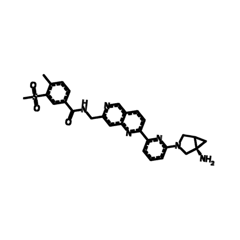 Cc1ccc(C(=O)NCc2cc3nc(-c4cccc(N5CC6C[C@]6(N)C5)n4)ccc3cn2)cc1S(C)(=O)=O